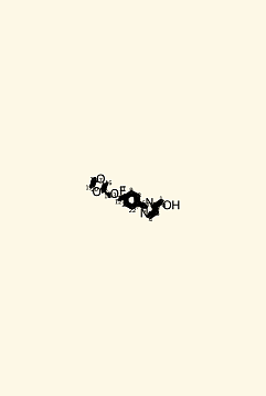 OCc1ccnc(C2=CC[C@](F)(COC[C@@H]3COCCO3)CC2)n1